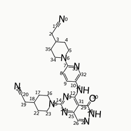 N#CCC1CCN(c2ccc(Nc3nc(N4CCC(CC#N)CC4)nc4cn[nH]c(=O)c34)cn2)CC1